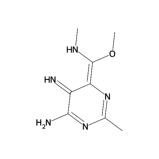 CN/C(OC)=C1/N=C(C)N=C(N)C1=N